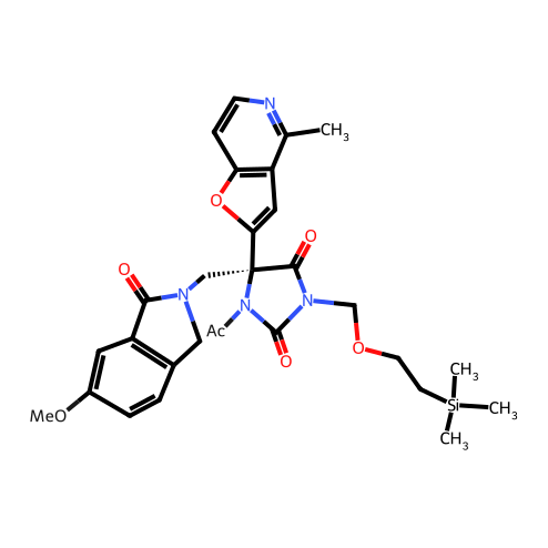 COc1ccc2c(c1)C(=O)N(C[C@]1(c3cc4c(C)nccc4o3)C(=O)N(COCC[Si](C)(C)C)C(=O)N1C(C)=O)C2